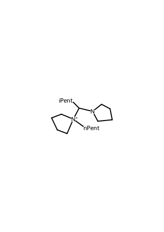 CCCCC[N+]1(C(C(C)CCC)N2CCCC2)CCCC1